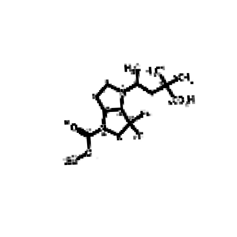 CC(CC(C)(C)C(=O)O)N1CCC2C1C(F)(F)CN2C(=O)OC(C)(C)C